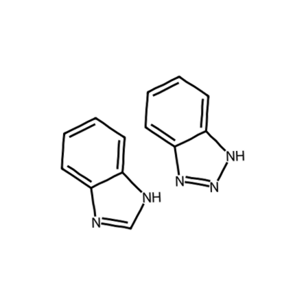 c1ccc2[nH]cnc2c1.c1ccc2[nH]nnc2c1